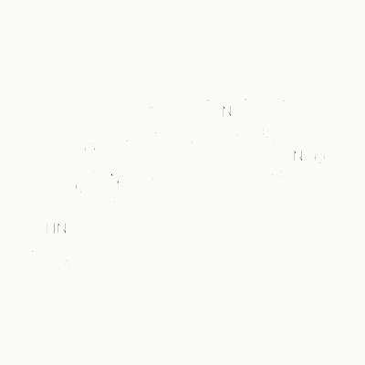 CC(=S)NCC1CN(c2ccc(C3CCN(Cc4ccc([N+](=O)[O-])o4)CC3)c(F)c2)C(=O)O1